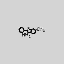 Cc1ccc2cc(-c3ccccc3N)sc2c1